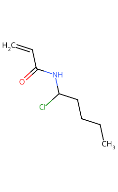 C=CC(=O)NC(Cl)CCCC